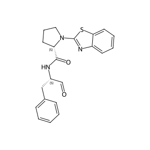 O=C[C@H](Cc1ccccc1)NC(=O)[C@@H]1CCCN1c1nc2ccccc2s1